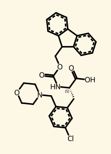 O=C(N[C@@H](Cc1cc(Cl)ccc1CN1CCOCC1)C(=O)O)OCC1c2ccccc2-c2ccccc21